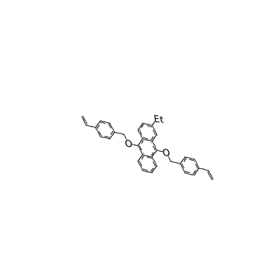 C=Cc1ccc(COc2c3ccccc3c(OCc3ccc(C=C)cc3)c3cc(CC)ccc23)cc1